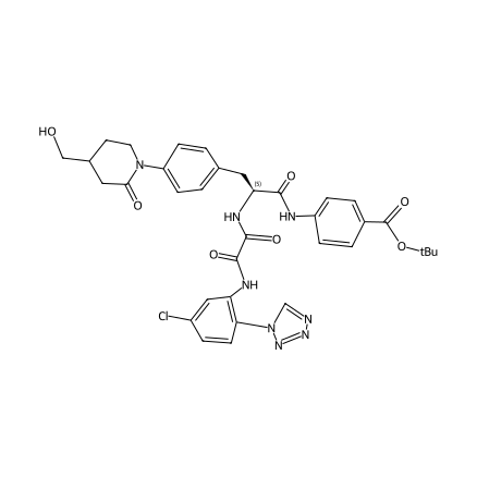 CC(C)(C)OC(=O)c1ccc(NC(=O)[C@H](Cc2ccc(N3CCC(CO)CC3=O)cc2)NC(=O)C(=O)Nc2cc(Cl)ccc2-n2cnnn2)cc1